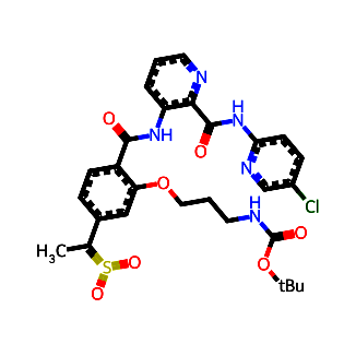 CC(c1ccc(C(=O)Nc2cccnc2C(=O)Nc2ccc(Cl)cn2)c(OCCCNC(=O)OC(C)(C)C)c1)=S(=O)=O